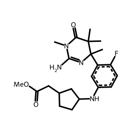 COC(=O)CC1CCC(Nc2ccc(F)c(C3(C)N=C(N)N(C)C(=O)C3(C)C)c2)C1